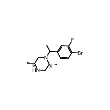 CC(c1ccc(Br)c(F)c1)N1C[C@H](C)NC[C@H]1C